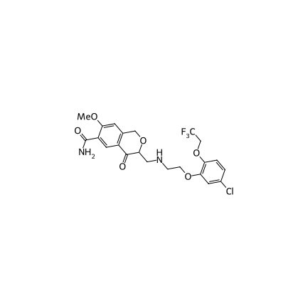 COc1cc2c(cc1C(N)=O)C(=O)C(CNCCOc1cc(Cl)ccc1OCC(F)(F)F)OC2